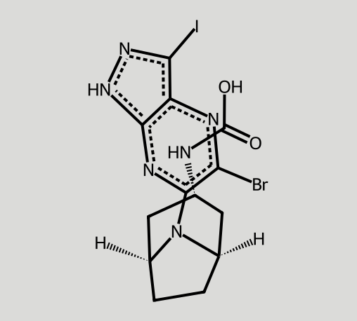 O=C(O)N[C@@H]1C[C@H]2CC[C@@H](C1)N2c1nc2[nH]nc(I)c2nc1Br